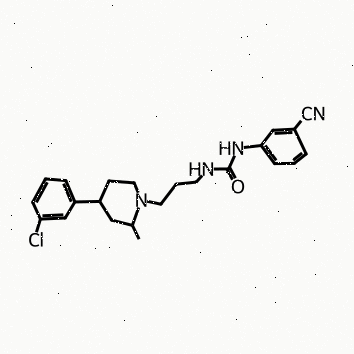 CC1CC(c2cccc(Cl)c2)CCN1CCCNC(=O)Nc1cccc(C#N)c1